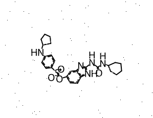 O=C(Nc1nc2cc(OS(=O)(=O)c3ccc(NC4CCCC4)cc3)ccc2[nH]1)NC1CCCCC1